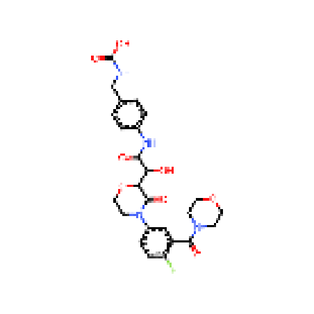 O=C(O)NCc1ccc(NC(=O)C(O)C2OCCN(c3ccc(F)c(C(=O)N4CCOCC4)c3)C2=O)cc1